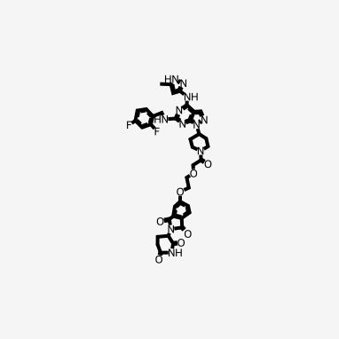 Cc1cc(Nc2nc(NCc3ccc(F)cc3F)nc3c2cnn3C2CCN(C(=O)COCCOc3ccc4c(c3)C(=O)N(C3CCC(=O)NC3=O)C4=O)CC2)n[nH]1